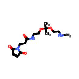 CNCCOC(C)(C)OCCNC(=O)CCN1C(=O)C=CC1=O